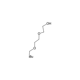 [CH2]CC(C)COCCOCCO